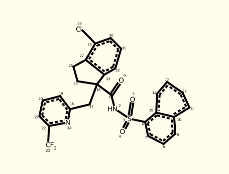 O=C(NS(=O)(=O)c1cccc2ccccc12)C1(Cc2cccc(C(F)(F)F)n2)CCc2c(Cl)cccc21